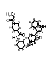 C=CC(=O)N1CCC(C(=O)N[C@H]2CCC[C@@H](NN3C=C(Cl)C(c4c[nH]c5ccccc45)=NC3)C2)CC1